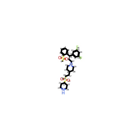 CS(=O)(=O)c1ccccc1[C@H](CCN1CCC(CCS(=O)(=O)C2CCNCC2)CC1)c1cc(F)cc(F)c1